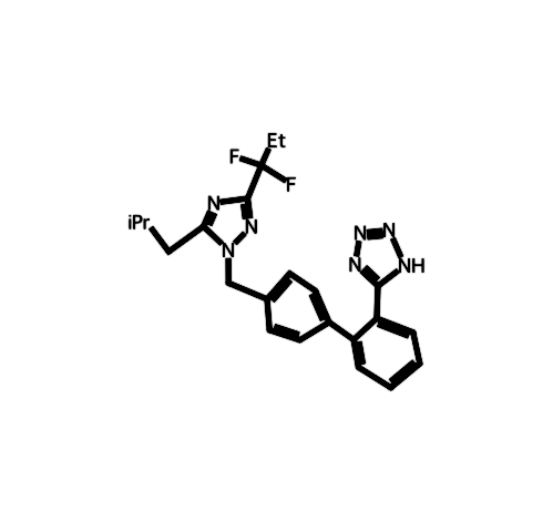 CCC(F)(F)c1nc(CC(C)C)n(Cc2ccc(-c3ccccc3-c3nnn[nH]3)cc2)n1